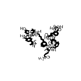 Cc1ncsc1-c1ccc([C@H](C)NC(=O)[C@@H]2C[C@@H](O)CN2C(=O)[C@@H](NC(O)CCCCCc2cccc(O[C@H](C)[C@H](CCC(N)=O)NC(=O)[C@@H]3Cc4cccc5c4N3C(=O)[C@@H](NC(=O)c3cc4cc(C(=O)P(=O)(O)O)ccc4[nH]3)CC5)c2)C(C)(C)C)cc1